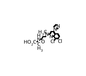 C[C@H](NC(=O)CCN(C)c1cc(-n2ccnc2)c2ccc(Cl)c(Cl)c2n1)C(=O)O